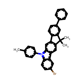 Cc1ccc(-n2c3ccc(Br)cc3c3cc4c(cc32)-c2ccc(-c3ccccc3)cc2C4(C)C)cc1